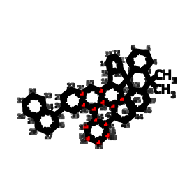 CC1(C)c2ccccc2C2(c3ccccc3-c3cc(N(c4cccc(-c5cccc6ccccc56)c4)c4ccccc4-c4ccccc4-c4ccccc4-c4ccccc4)ccc32)c2ccccc21